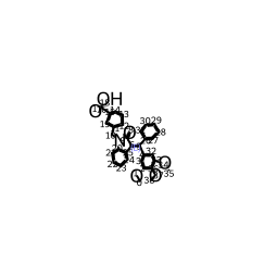 COc1cc(/C(=C2/C(=O)N(Cc3cccc(C(=O)O)c3)c3ccccc32)c2ccccc2)cc(OC)c1OC